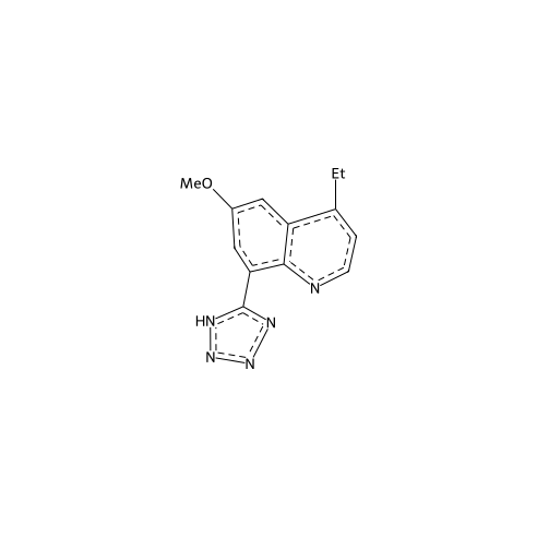 CCc1ccnc2c(-c3nnn[nH]3)cc(OC)cc12